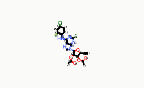 C#CC1OC(n2cnc3c(Nc4ccc(Cl)cc4F)nc(Cl)nc32)C(OC(C)=O)C1OC(C)=O